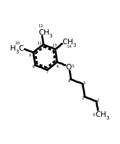 CCCCCOc1ccc(C)c(C)c1C